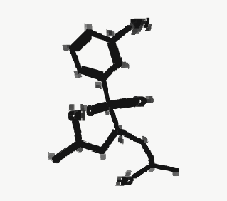 CC(O)CN(CC(C)O)S(=O)(=O)c1cccc(N)c1